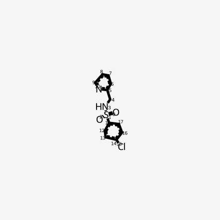 O=S(=O)(NCc1ccccn1)c1ccc(Cl)cc1